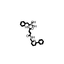 O=C(C=CC(=O)NC(Cc1ccccc1)B(O)O)NCc1cccc(-c2ccccc2)n1